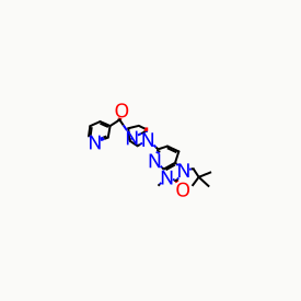 Cn1c(=O)n(CC(C)(C)C)c2ccc(N3CC4CCC3CN4C(=O)c3cccnc3)nc21